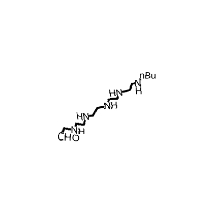 CCCCNCCNCCNCCNCCNCC=O